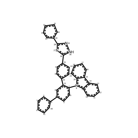 c1ccc(-c2ccc(-n3c4ccccc4c4ccccc43)c(-c3ccc(-c4nc(-c5ccccc5)n[nH]4)cc3)c2)cc1